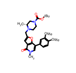 COc1ccc(-c2cn(C)c(=O)c3cc(CN4CCN(C(=O)OC(C)(C)C)C[C@H]4C)oc23)cc1OC